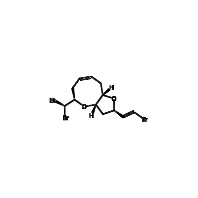 CC[C@H](Br)[C@H]1C/C=C\C[C@@H]2O[C@@H](/C=C/Br)C[C@@H]2O1